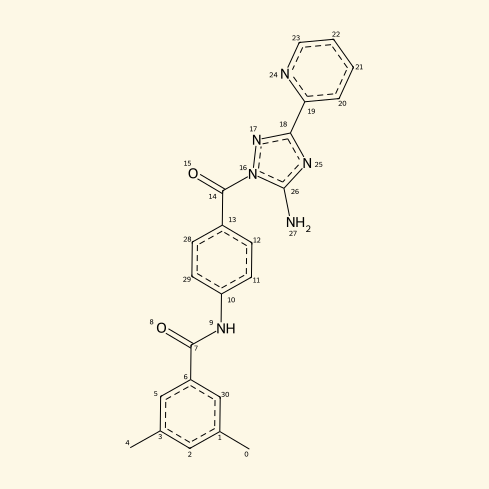 Cc1cc(C)cc(C(=O)Nc2ccc(C(=O)n3nc(-c4ccccn4)nc3N)cc2)c1